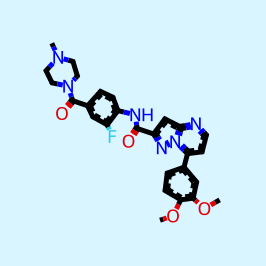 COc1ccc(-c2ccnc3cc(C(=O)Nc4ccc(C(=O)N5CCN(C)CC5)cc4F)nn23)cc1OC